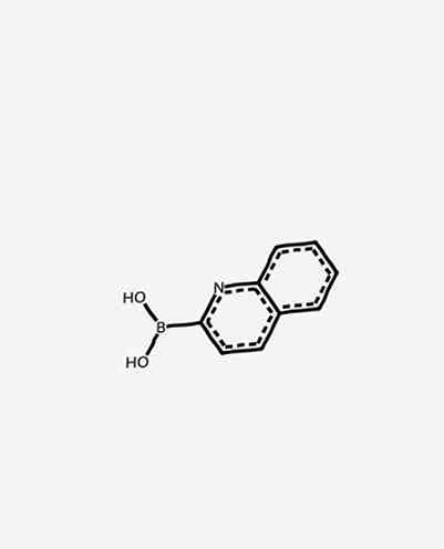 OB(O)c1ccc2ccccc2n1